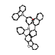 c1cc(N(c2ccccc2-c2ccc3ccccc3c2)c2ccccc2-c2ccc3c(c2)oc2ccccc23)cc(-n2c3ccccc3c3ccccc32)c1